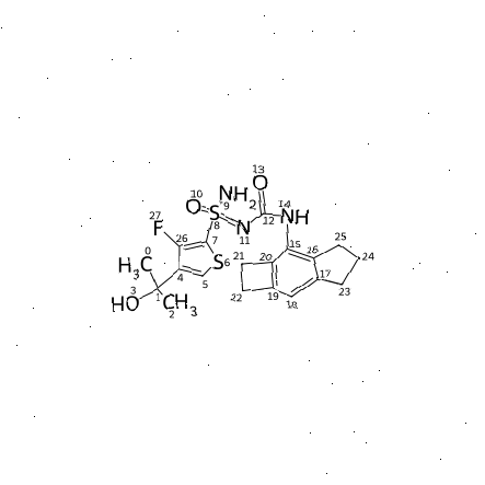 CC(C)(O)c1csc([S@@](N)(=O)=NC(=O)Nc2c3c(cc4c2CC4)CCC3)c1F